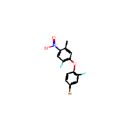 Cc1cc(Oc2ccc(Br)cc2F)c(F)cc1[N+](=O)[O-]